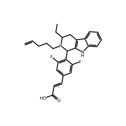 C=CCCCN1C(CC)Cc2c([nH]c3ccccc23)C1c1c(F)cc(/C=C/C(=O)O)cc1F